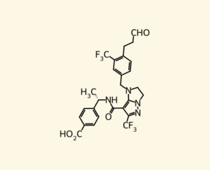 C[C@H](NC(=O)c1c(C(F)(F)F)nn2c1N(Cc1ccc(CCC=O)c(C(F)(F)F)c1)CC2)c1ccc(C(=O)O)cc1